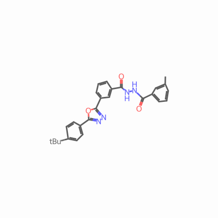 Cc1cccc(C(=O)NNC(=O)c2cccc(-c3nnc(-c4ccc(C(C)(C)C)cc4)o3)c2)c1